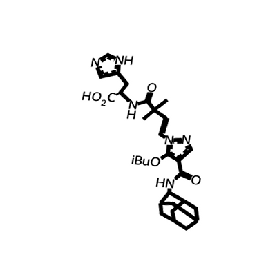 CC(C)COc1c(C(=O)NC2C3CC4CC(C3)CC2C4)cnn1/C=C/C(C)(C)C(=O)N[C@@H](Cc1cnc[nH]1)C(=O)O